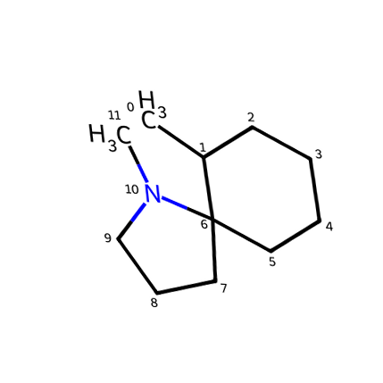 CC1CCCCC12CCCN2C